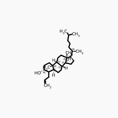 C=CCC1[C@H](O)CC[C@@]2(C)[C@H]1CC[C@@H]1[C@@H]2CC[C@]2(C)[C@@H]([C@H](C)CCCC(C)C)CC[C@@H]12